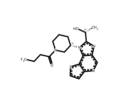 C[C@@H](O)c1nc2cnc3ccsc3c2n1[C@H]1CCCN(C(=O)CCC(F)(F)F)C1